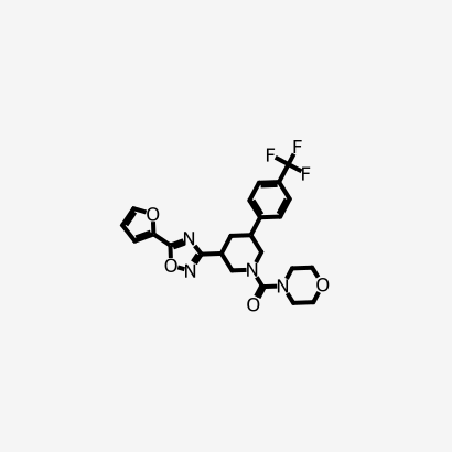 O=C(N1CCOCC1)N1CC(c2ccc(C(F)(F)F)cc2)CC(c2noc(-c3ccco3)n2)C1